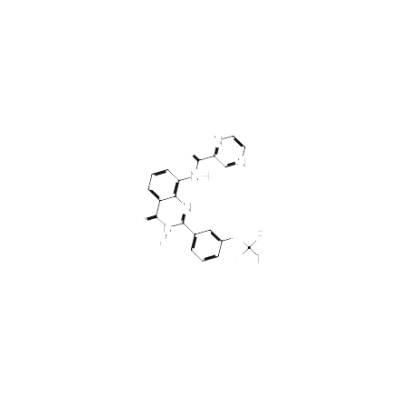 Cn1c(-c2cccc(OC(F)(F)F)c2)nc2c(NC(=O)c3cnccn3)cccc2c1=O